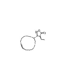 C/C=C1\C(=O)ON=C1C1CCCCC/C=C\CCCCCC1